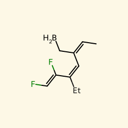 BCC(=C/C)/C=C(CC)\C(F)=C\F